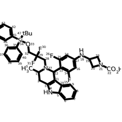 CC1Cc2[nH]c3ccccc3c2C(c2c(F)cc(NC3CN(C(=O)O)C3)cc2F)N1CC(F)(F)CO[Si](c1ccccc1)(c1ccccc1)C(C)(C)C